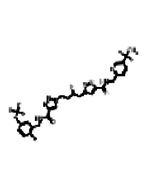 CC(F)(F)c1ccc(CNC(=O)c2cn(CC(F)CCn3cc(C(=O)NCc4cc(OC(F)(F)F)ccc4F)nn3)nn2)nc1